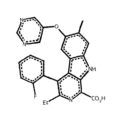 CCc1nc(C(=O)O)c2[nH]c3cc(C)c(Oc4cncnc4)cc3c2c1-c1ccccc1F